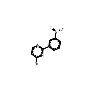 O=[N+]([O-])c1cccc(-c2nccc(Br)n2)c1